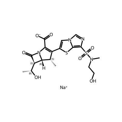 C[C@@H](O)[C@H]1C(=O)N2C(C(=O)[O-])=C(c3cn4cnc(S(=O)(=O)N(C)CCO)c4s3)[C@H](C)[C@H]12.[Na+]